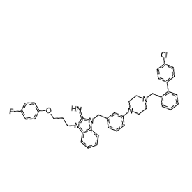 N=c1n(CCCOc2ccc(F)cc2)c2ccccc2n1Cc1cccc(N2CCN(Cc3ccccc3-c3ccc(Cl)cc3)CC2)c1